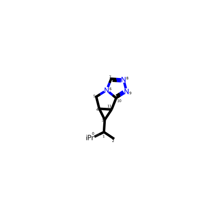 CC(C)C(C)C1C2Cn3cnnc3C21